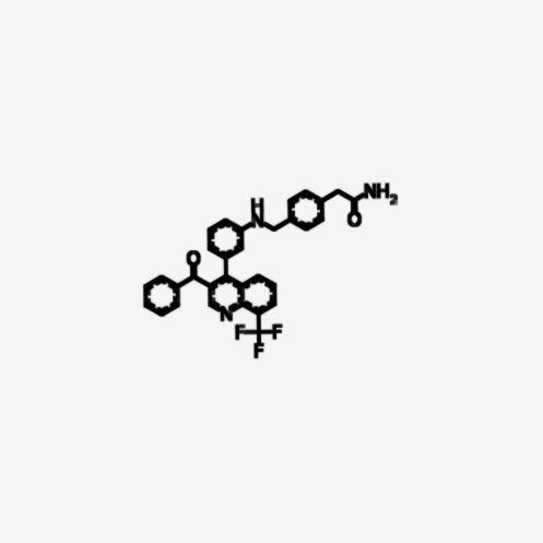 NC(=O)Cc1ccc(CNc2cccc(-c3c(C(=O)c4ccccc4)cnc4c(C(F)(F)F)cccc34)c2)cc1